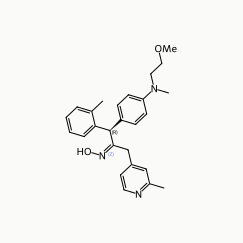 COCCN(C)c1ccc([C@@H](/C(Cc2ccnc(C)c2)=N\O)c2ccccc2C)cc1